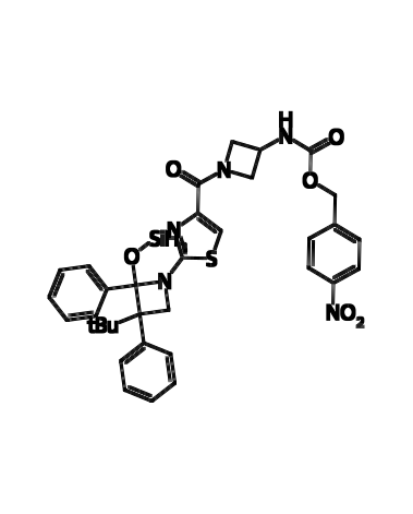 CC(C)(C)C1(c2ccccc2)CN(c2nc(C(=O)N3CC(NC(=O)OCc4ccc([N+](=O)[O-])cc4)C3)cs2)C1(O[SiH3])c1ccccc1